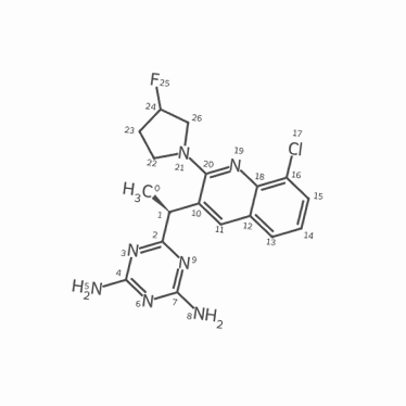 C[C@H](c1nc(N)nc(N)n1)c1cc2cccc(Cl)c2nc1N1CCC(F)C1